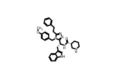 COc1ccc(Cn2c(CCc3ccccc3)nnc2[C@@H](Cc2c[nH]c3ccccc23)NC(=O)[C@@H]2CCCNC2)cc1